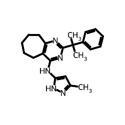 Cc1cc(Nc2nc(C(C)(C)c3ccccc3)nc3c2CCCCC3)[nH]n1